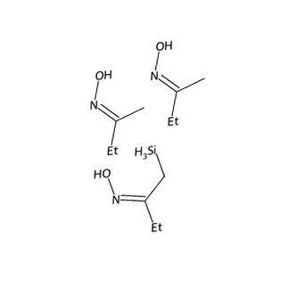 CCC(C)=NO.CCC(C)=NO.CCC(C[SiH3])=NO